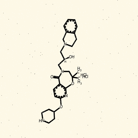 CC1(C)CN(C[C@H](O)CN2CCc3ccccc3C2)C(=O)c2ccc(OC3CCNCC3)nc2O1.Cl.Cl